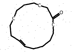 O=C1CCCCC/C=C/CCCCCCCC1